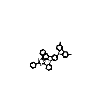 Cc1ccc2c(c1)c1cc(C)ccc1n2-c1ccc2c(c1)c1ccccc1n2-c1ccccc1-c1nc(-c2ccccc2)nc(-c2ccccc2)n1